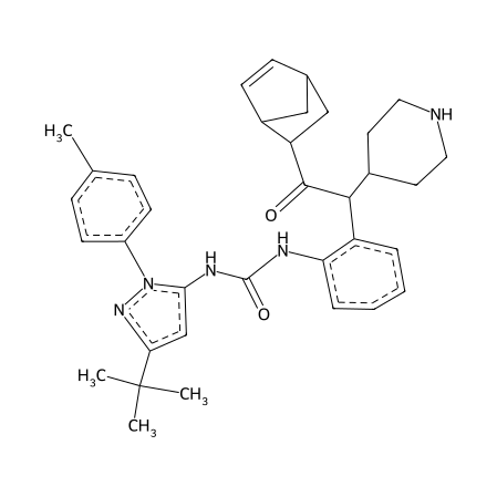 Cc1ccc(-n2nc(C(C)(C)C)cc2NC(=O)Nc2ccccc2C(C(=O)C2CC3C=CC2C3)C2CCNCC2)cc1